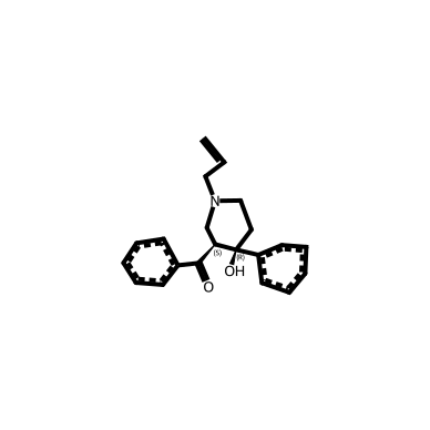 C=CCN1CC[C@](O)(c2ccccc2)[C@@H](C(=O)c2ccccc2)C1